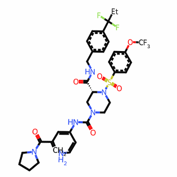 C=C(/C=C(\C=C/N)NC(=O)N1CCN(S(=O)(=O)c2ccc(OC(F)(F)F)cc2)[C@@H](C(=O)NCc2ccc(C(F)(F)CC)cc2)C1)C(=O)N1CCCC1